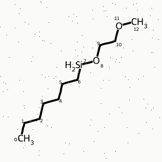 CCCCCCC[SiH2]OCCOC